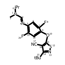 CC(C)N(C)C=Nc1cc(F)c(Oc2snc(C(C)(C)C)c2C#N)cc1F